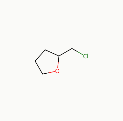 Cl[CH]C1CCCO1